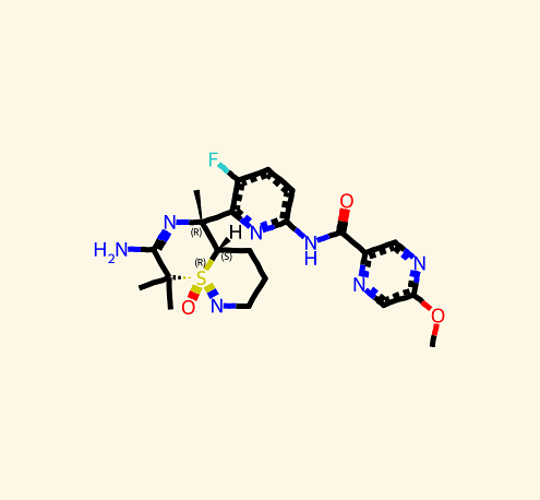 COc1cnc(C(=O)Nc2ccc(F)c([C@@]3(C)N=C(N)C(C)(C)[S@@]4(=O)=NCCC[C@@H]34)n2)cn1